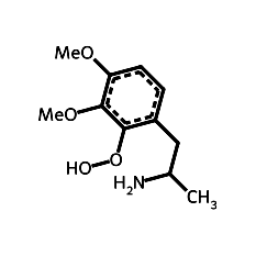 COc1ccc(CC(C)N)c(OO)c1OC